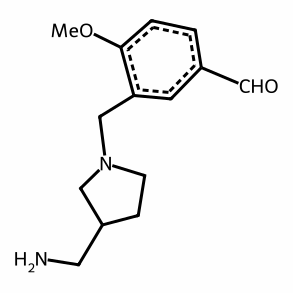 COc1ccc(C=O)cc1CN1CCC(CN)C1